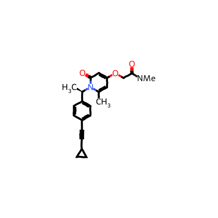 CNC(=O)COc1cc(C)n([C@H](C)c2ccc(C#CC3CC3)cc2)c(=O)c1